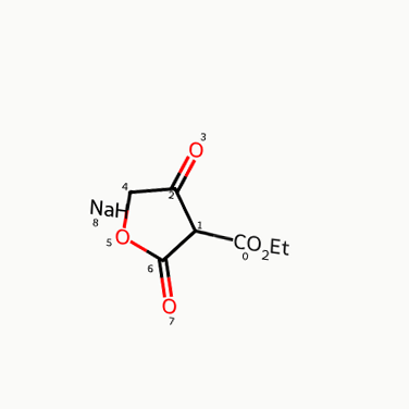 CCOC(=O)C1C(=O)COC1=O.[NaH]